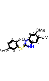 COc1ccc([N+](=O)[O-])c(Sc2nc3cc(OC)c(OC)cc3[nH]2)c1